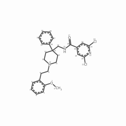 COc1ccccc1CCN1CCC(CNC(=O)c2cc(Cl)nc(Cl)c2)(c2ccccc2)CC1